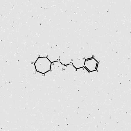 c1ccc(COPOC2CCCCCC2)cc1